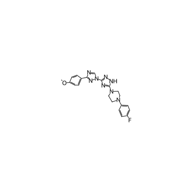 COc1ccc(-c2ncn(-c3n[nH]c(N4CCN(c5ccc(F)cc5)CC4)n3)n2)cc1